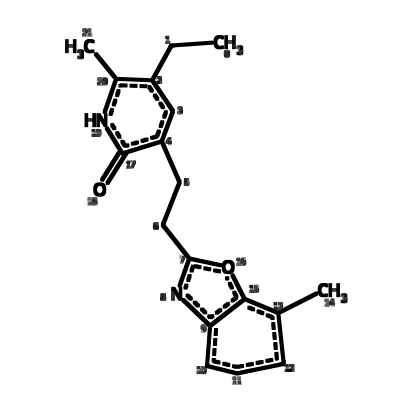 CCc1cc(CCc2nc3cccc(C)c3o2)c(=O)[nH]c1C